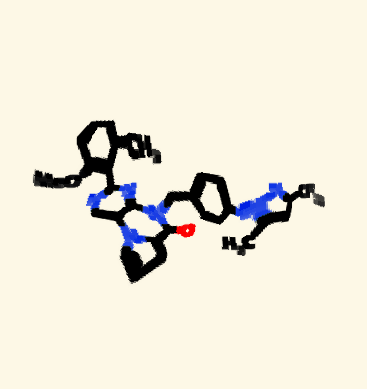 COc1cccc(C)c1-c1ncc2c(n1)n(Cc1ccc(-n3nc(C(F)(F)F)cc3C)cc1)c(=O)c1cccn12